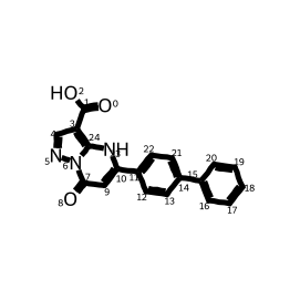 O=C(O)c1cnn2c(=O)cc(-c3ccc(-c4ccccc4)cc3)[nH]c12